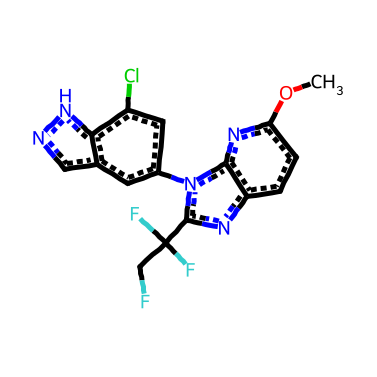 COc1ccc2nc(C(F)(F)CF)n(-c3cc(Cl)c4[nH]ncc4c3)c2n1